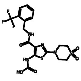 O=C(O)Nc1sc(N2CCS(=O)(=O)CC2)nc1C(=O)NCc1ccccc1C(F)(F)F